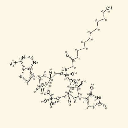 Nc1ncnc2c1ncn2[C@@H]1O[C@@H]2COP(=O)(SCC(=O)CCCCCCCCCCO)O[C@H]3[C@@H](F)[C@H](n4ccc(=O)[nH]c4=O)O[C@@H]3COP(=O)(O)O[C@H]2[C@H]1F